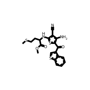 COC(=O)C(CCSC)Nc1sc(C(=O)c2csc3ccccc23)c(N)c1C#N